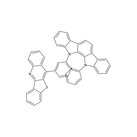 c1ccc(-n2c3ccccc3c3ccc4c5ccccc5n(-c5cccc(-c6c7ccccc7nc7c6sc6ccccc67)c5)c4c32)cc1